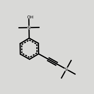 C[Si](C)(C)C#Cc1cccc([Si](C)(C)O)c1